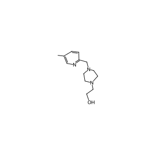 Cc1ccc(CN2CCN(CCO)CC2)nc1